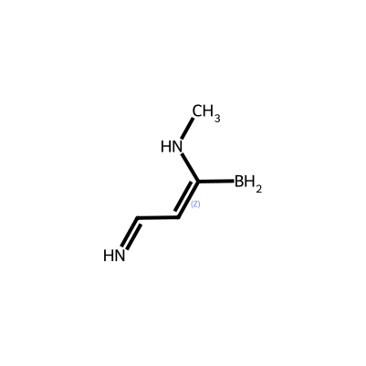 B/C(=C/C=N)NC